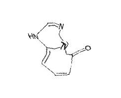 O=c1cccc2[nH]cnn12